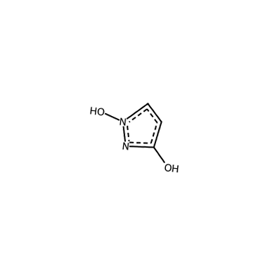 Oc1ccn(O)n1